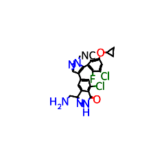 Cn1ncc(-c2cc(Cl)c3c(=O)[nH]nc(CN)c3c2)c1-c1c(F)c(Cl)cc(OC2CC2)c1C#N